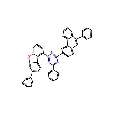 c1ccc(-c2ccc3c(c2)oc2cccc(-c4nc(-c5ccccc5)nc(-c5ccc6cc(-c7ccccc7)c7ccccc7c6c5)n4)c23)cc1